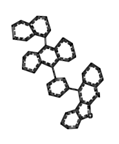 c1cc(-c2c3ccccc3c(-c3cccc4ccccc34)c3ccccc23)cc(-c2c3ccccc3nc3oc4ccccc4c23)c1